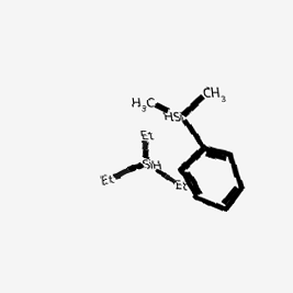 CC[SiH](CC)CC.C[SiH](C)c1ccccc1